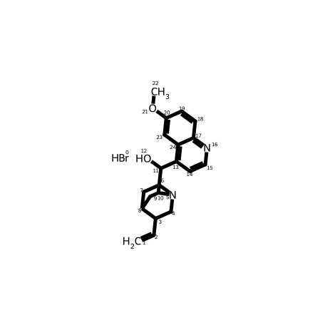 Br.C=CC1CN2CCC1CC2C(O)c1ccnc2ccc(OC)cc12